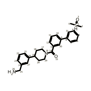 C[SH](C)(=O)c1cccc(-c2cccc(C(=O)N3CCC(c4cccc(CN)c4)CC3)c2)c1